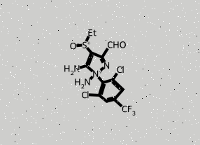 CC[S+]([O-])C1=C(N)[N+](N)(c2c(Cl)cc(C(F)(F)F)cc2Cl)N=C1C=O